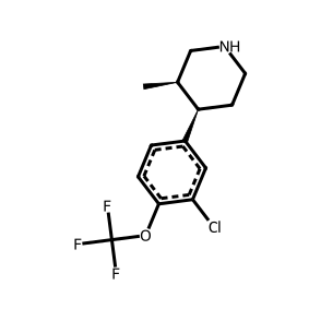 C[C@H]1CNCC[C@H]1c1ccc(OC(F)(F)F)c(Cl)c1